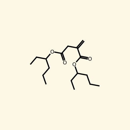 C=C(CC(=O)OC(CC)CCC)C(=O)OC(CC)CCC